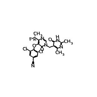 Cc1nc(C)c(Cn2cnc([C@@H](C)F)c(Oc3c(Cl)cc(C#N)cc3Cl)c2=O)c(=O)[nH]1